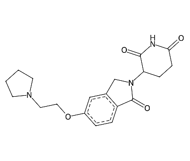 O=C1CCC(N2Cc3cc(OCCN4CCCC4)ccc3C2=O)C(=O)N1